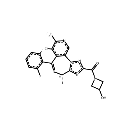 C[C@@H]1N=C(c2c(F)cccc2F)c2c(cnc(C(F)(F)F)c2Cl)-n2nc(C(=O)N3CC(O)C3)nc21